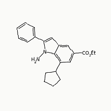 CCOC(=O)c1cc(C2CCCC2)c2c(c1)cc(-c1ccccc1)n2N